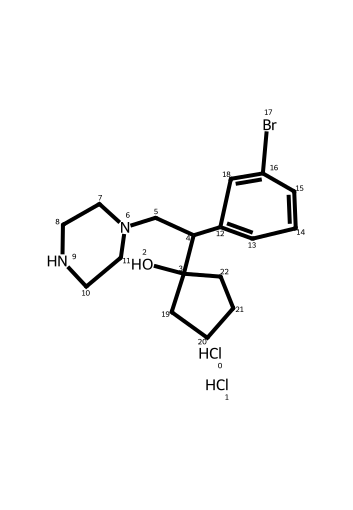 Cl.Cl.OC1(C(CN2CCNCC2)c2cccc(Br)c2)CCCC1